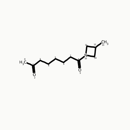 CC(=O)CCCCCC(=O)N1CC(C)C1